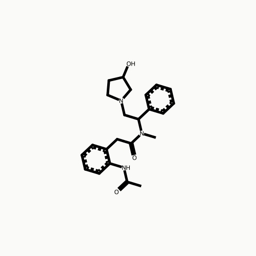 CC(=O)Nc1ccccc1CC(=O)N(C)C(CN1CCC(O)C1)c1ccccc1